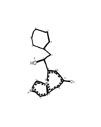 OC(CC1CCCCC1)c1cc(Cl)cc2cncn12